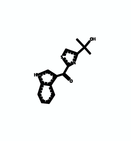 CC(C)(O)c1csc(C(=O)c2c[nH]c3ccccc23)n1